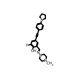 CN1CCN(N=Cc2cc(C#Cc3ccc(N4CCCC4)cc3)cc(F)c2O)CC1